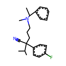 CC(c1ccccc1)N(C)CCCC(C#N)(c1ccc(F)cc1)C(C)C